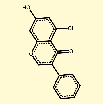 O=c1c(-c2ccccc2)coc2cc(O)cc(O)c12